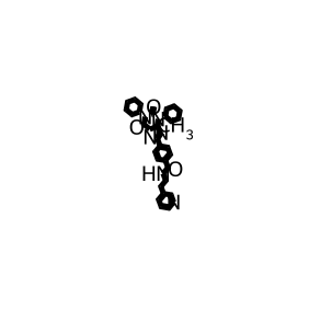 CC12N=C(c3ccc(C(=O)NCCc4cccnc4)cc3)N=C1C(=O)N(C1CCCCC1)C(=O)N2C1CCCCC1